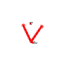 CC(C)(C)c1ccc(OCCOCCOCCOCCOCCOCCOCCOCCOCCCCS(=O)(=O)[O-])c(OCCOCCOCCOCCOCCOCCOCCOCCOCCCCS(=O)(=O)[O-])c1.[K+].[K+]